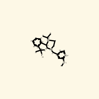 COc1cc(CN2CCN(C(C)C)C(c3ccccc3C(C)(C)F)C2)ccn1